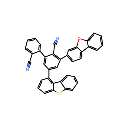 N#Cc1ccccc1-c1cc(-c2cccc3sc4ccccc4c23)cc(-c2ccc3c(c2)oc2ccccc23)c1C#N